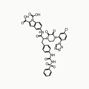 O=C(Nc1ccc(CC(C(=O)Nc2ccc3c(c2)cc(C(=O)O)n3C(=O)O)N2CCN(c3cc(Cl)ccc3-n3cnnn3)C(=O)C2=O)cc1)NS(=O)(=O)c1ccccc1